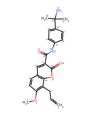 C=CCc1c(OC)ccc2cc(C(=O)Nc3ccc(C(C)(C)N)cc3)c(=O)oc12